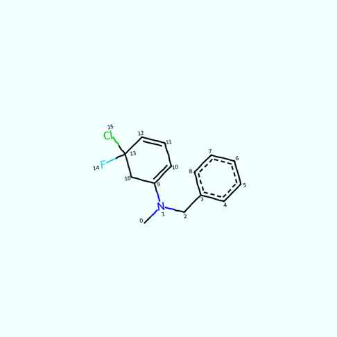 CN(Cc1ccccc1)C1=CC=CC(F)(Cl)C1